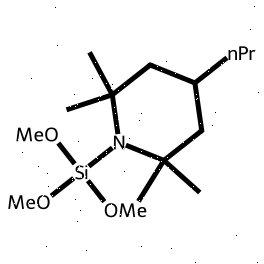 CCCC1CC(C)(C)N([Si](OC)(OC)OC)C(C)(C)C1